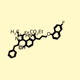 CCOC(=O)c1[nH]c2c(-c3c([C@H](O)Cc4ccccc4)nn(C)c3CC)c(Cl)ccc2c1CCCOc1cccc2cc(F)ccc12